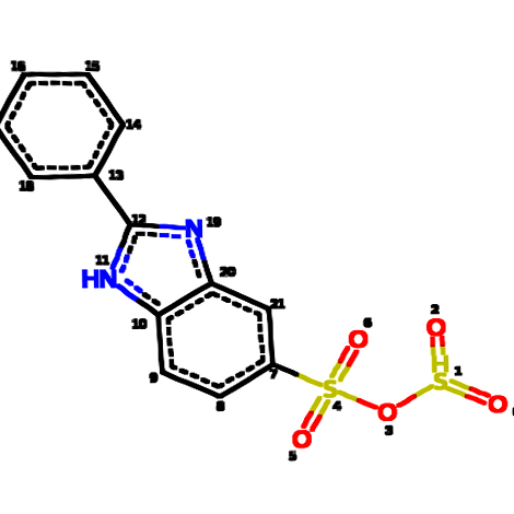 O=[SH](=O)OS(=O)(=O)c1ccc2[nH]c(-c3ccccc3)nc2c1